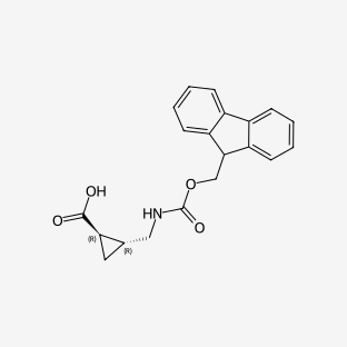 O=C(NC[C@@H]1C[C@H]1C(=O)O)OCC1c2ccccc2-c2ccccc21